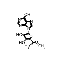 COC(C)[C@H]1O[C@@H](n2cnc3c(O)ncnc32)[C@H](O)[C@@H]1O